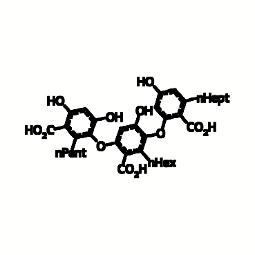 CCCCCCCc1cc(O)cc(Oc2c(O)cc(Oc3c(O)cc(O)c(C(=O)O)c3CCCCC)c(C(=O)O)c2CCCCCC)c1C(=O)O